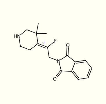 CC1(C)CNCC/C1=C(/F)CN1C(=O)c2ccccc2C1=O